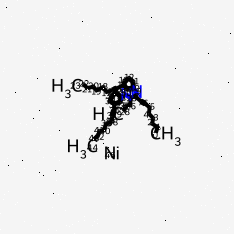 CCCCCCC#CC(=Nc1cccc(C#CCCCCCCC)c1)C(CCCC)=Nc1cccc(C#CCCCCCCC)c1.[Ni]